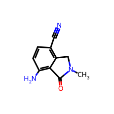 CN1Cc2c(C#N)ccc(N)c2C1=O